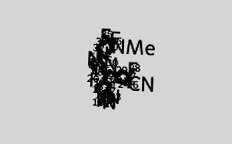 CN[C@H]1CN(c2nccn3c(-c4cc5nnn(C)c5cc4F)c(-c4ccc(C#N)c(F)c4)nc23)CCC1(F)F